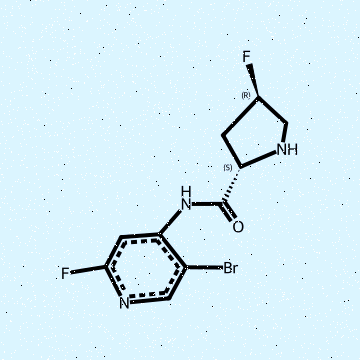 O=C(Nc1cc(F)ncc1Br)[C@@H]1C[C@@H](F)CN1